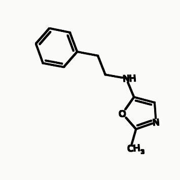 Cc1ncc(NCCc2ccccc2)o1